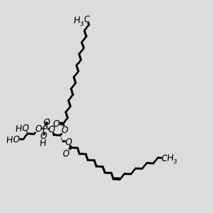 CCCCCCCC/C=C\CCCCCCCCCC(=O)OC[C@H](COP(=O)(O)OC[C@@H](O)CO)OC(=O)CCCCCCCCCCCCCCCCCC